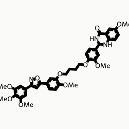 COc1ccc2c(c1)C(=O)NC(c1ccc(OCCCCOc3cc(-c4cc(-c5cc(OC)c(OC)c(OC)c5)no4)ccc3OC)c(OC)c1)N2